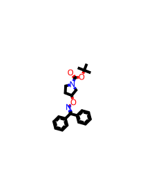 CC(C)(C)OC(=O)N1CCC(ON=C(c2ccccc2)c2ccccc2)C1